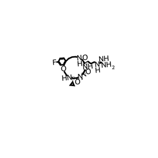 C[C@@H]1C(=O)N[C@H](CCCNC(=N)N)C(=O)NCCCc2ccc(F)cc2OCCN[C@@H](C2CC2)C(=O)N1C